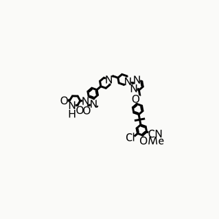 COc1c(Cl)cc(C(C)(C)c2ccc(OCc3ccnc(N4CCC(CN5CCC(c6ccc7c(c6)n(C)c(=O)n7C6CCC(=O)NC6=O)CC5)CC4)n3)cc2)cc1C#N